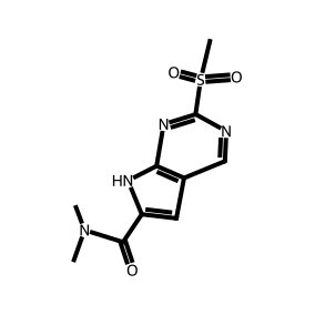 CN(C)C(=O)c1cc2cnc(S(C)(=O)=O)nc2[nH]1